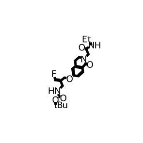 CCNC(=O)CN1CCc2cc(OC/C(=C\F)CNC(=O)OC(C)(C)C)ccc2C1=O